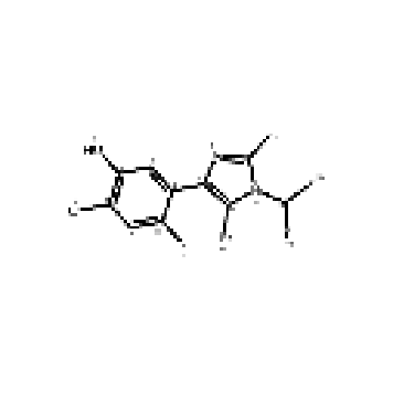 Cc1nc(-c2cc(O)c(Cl)cc2F)c(Br)n1C(F)F